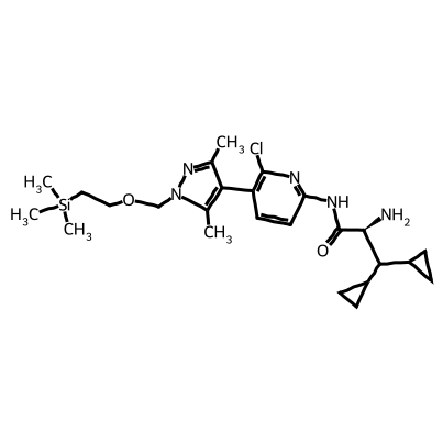 Cc1nn(COCC[Si](C)(C)C)c(C)c1-c1ccc(NC(=O)[C@@H](N)C(C2CC2)C2CC2)nc1Cl